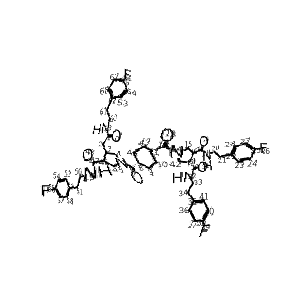 O=C(CC1CN(C(=O)[C@H]2CC[C@H](C(=O)N3CC(C(=O)NCCc4ccc(F)cc4)[C@H](C(=O)NCCc4ccc(F)cc4)C3)CC2)CC1C(=O)NCCc1ccc(F)cc1)NCCc1ccc(F)cc1